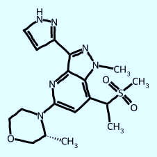 CC(c1cc(N2CCOC[C@H]2C)nc2c(-c3cc[nH]n3)nn(C)c12)S(C)(=O)=O